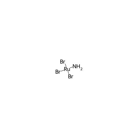 [NH2][Ru]([Br])([Br])[Br]